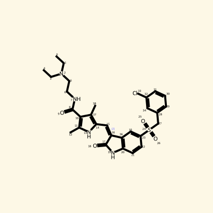 CCN(CC)CCNC(=O)c1c(C)[nH]c(/C=C2\C(=O)Nc3ccc(S(=O)(=O)Cc4cccc(Cl)c4)cc32)c1C